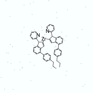 CCCc1ccc(-c2cccc3c2C=[C]([Zr][C]2=Cc4c(-c5ccc(CCC)cc5)cccc4C2c2ccccn2)C3c2ccccn2)cc1